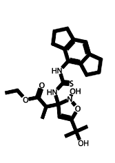 CCOC(=O)C(C)C1(NC(=S)Nc2c3c(cc4c2CCC4)CCC3)C=C(C(C)(C)O)ON1O